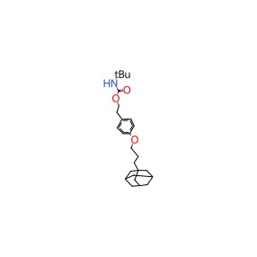 CC(C)(C)NC(=O)OCCc1ccc(OCCCC23CC4CC(CC(C4)C2)C3)cc1